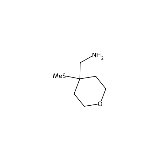 CSC1(CN)CCOCC1